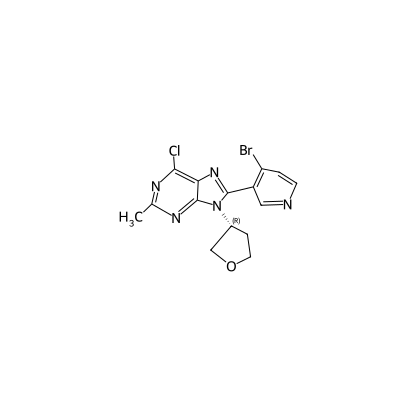 Cc1nc(Cl)c2nc(-c3cnccc3Br)n([C@@H]3CCOC3)c2n1